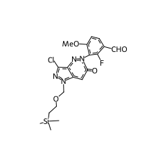 COc1ccc(C=O)c(F)c1-n1nc2c(Cl)nn(COCC[Si](C)(C)C)c2cc1=O